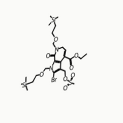 CCOC(=O)C1=CCN(COCC[Si](C)(C)C)C(=O)c2c1c(COS(C)(=O)=O)c(Br)n2COCC[Si](C)(C)C